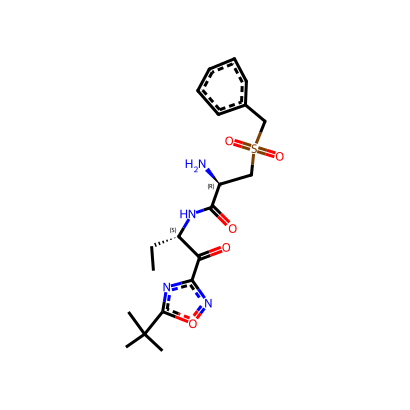 CC[C@H](NC(=O)[C@@H](N)CS(=O)(=O)Cc1ccccc1)C(=O)c1noc(C(C)(C)C)n1